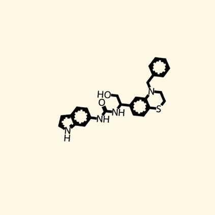 O=C(Nc1ccc2cc[nH]c2c1)NC(CO)c1ccc2c(c1)N(Cc1ccccc1)CCS2